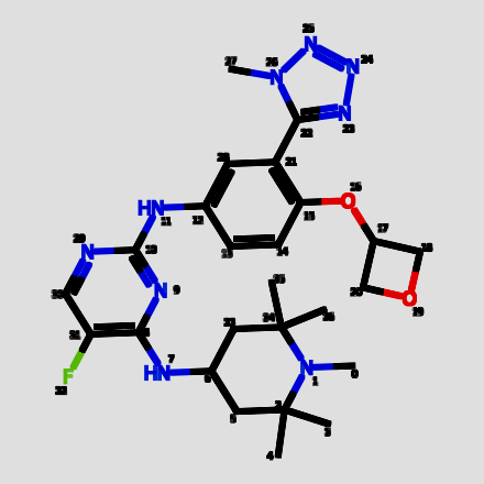 CN1C(C)(C)CC(Nc2nc(Nc3ccc(OC4COC4)c(-c4nnnn4C)c3)ncc2F)CC1(C)C